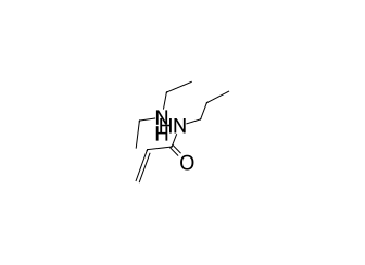 C=CC(=O)NCCC.CCNCC